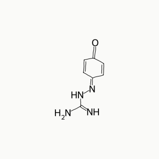 N=C(N)NN=C1C=CC(=O)C=C1